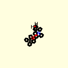 c1ccc([Si](c2ccccc2)(c2ccccc2)c2cccc3c2oc2ccc(-c4ccccc4N4c5ccccc5C5(c6ccccc64)C4C[C@H]6CC5C[C@@H](C4)C6)cc23)cc1